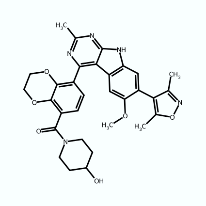 COc1cc2c(cc1-c1c(C)noc1C)[nH]c1nc(C)nc(-c3ccc(C(=O)N4CCC(O)CC4)c4c3OCCO4)c12